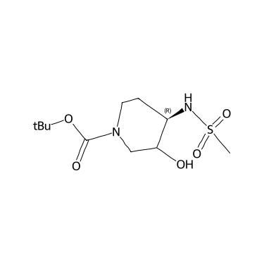 CC(C)(C)OC(=O)N1CC[C@@H](NS(C)(=O)=O)C(O)C1